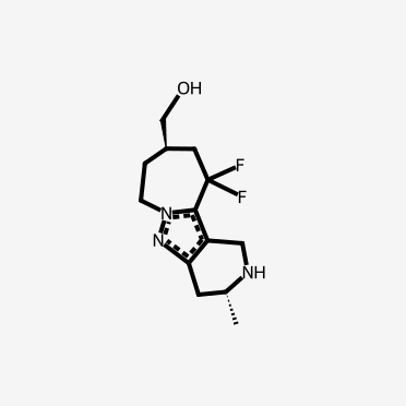 C[C@@H]1Cc2nn3c(c2CN1)C(F)(F)C[C@H](CO)CC3